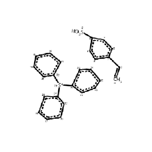 C=Cc1ccc(S(=O)(=O)O)cc1.c1ccc([S+](c2ccccc2)c2ccccc2)cc1